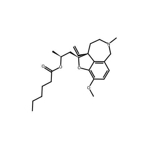 C=C[C@@]12CCN(C)Cc3ccc(OC)c(c31)O[C@H]2C[C@H](C)OC(=O)CCCCC